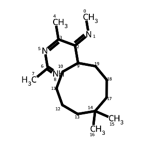 C/N=C(\C(C)=N/C(C)=N)C1CCCCC(C)(C)CCC1